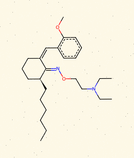 CCCCCC[C@H]1CCCC(=Cc2ccccc2OC)C1=NOCCN(CC)CC